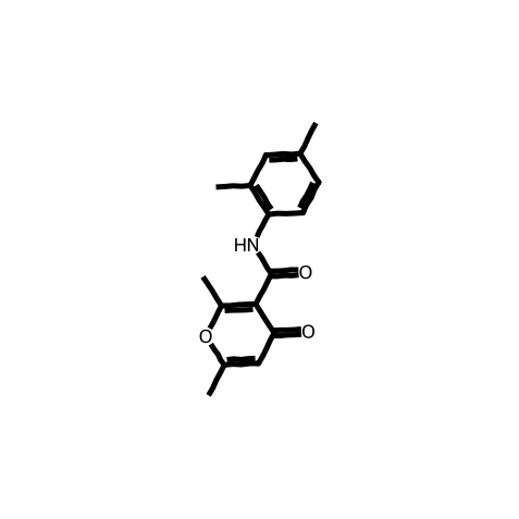 Cc1ccc(NC(=O)c2c(C)oc(C)cc2=O)c(C)c1